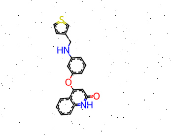 O=c1cc(Oc2cccc(NCc3ccsc3)c2)c2ccccc2[nH]1